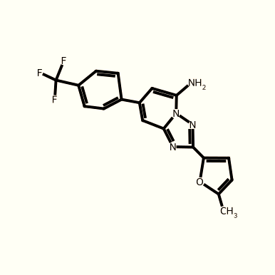 Cc1ccc(-c2nc3cc(-c4ccc(C(F)(F)F)cc4)cc(N)n3n2)o1